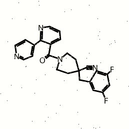 N#CC1(Cc2cc(F)cc(F)c2)CCN(C(=O)c2cccnc2-c2ccncc2)CC1